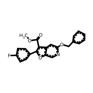 COC(=O)c1c(-c2ccc(F)cc2)oc2cnc(OCc3ccccc3)cc12